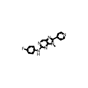 Cn1c(-c2ccncc2)nc2cnc(Nc3ccc(F)cc3)nc21